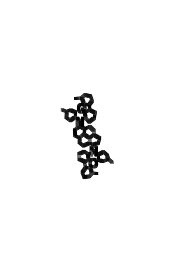 Cc1ccc(N(c2ccc3ccc4c(N(c5ccc(C)cc5)c5cccc6c5oc5c(C)cccc56)ccc5ccc2c3c54)c2cccc3c2oc2c(C)cccc23)cc1